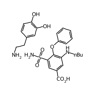 CCCCNc1cc(C(=O)O)cc(S(N)(=O)=O)c1Oc1ccccc1.NCCc1ccc(O)c(O)c1